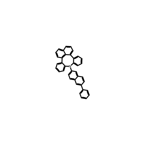 c1ccc(-c2ccc3cc(N4c5ccccc5-c5cccc6cccc(c56)-c5ccccc54)ccc3c2)cc1